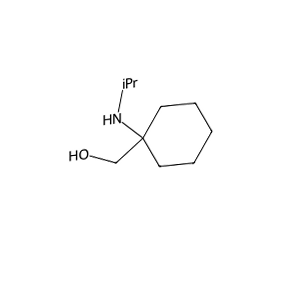 CC(C)NC1(CO)CCCCC1